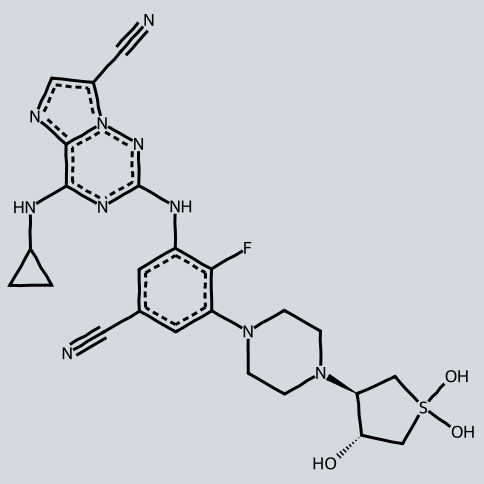 N#Cc1cc(Nc2nc(NC3CC3)c3ncc(C#N)n3n2)c(F)c(N2CCN([C@H]3CS(O)(O)C[C@@H]3O)CC2)c1